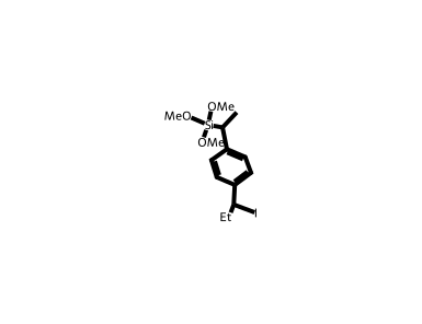 CCC(I)c1ccc(C(C)[Si](OC)(OC)OC)cc1